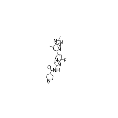 Cc1nc2c(C)cc(-c3cc(F)c4nc(NC(=O)C5CCN(C)CC5)cn4c3)nn2n1